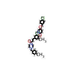 Cc1ccc(CN2CCN(C(=O)C=Cc3cc(C)c(Oc4ccc(OCc5ccc(Cl)cc5)cn4)c(Cl)c3)CC2)cc1